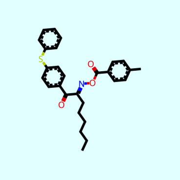 CCCCCC/C(=N\OC(=O)c1ccc(C)cc1)C(=O)c1ccc(Sc2ccccc2)cc1